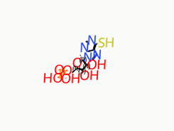 C[C@@]1(n2cnc3c(S)ncnc32)O[C@H](COP(=O)(O)O)[C@@H](O)[C@H]1O